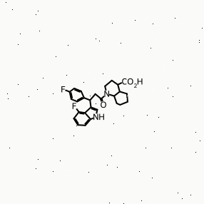 O=C(O)C1CCN(C(=O)CC(c2ccc(F)cc2)c2c[nH]c3cccc(F)c23)C2CCCCC12